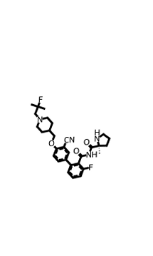 CC(C)(F)CN1CCC(COc2ccc(-c3cccc(F)c3C(=O)NC(=O)[C@]3(C)CCCN3)cc2C#N)CC1